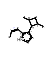 C/C=C\c1[nH]ccc1C1C(C)CC1C